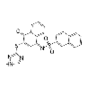 O=C1C(Sc2nc[nH]n2)=C/C(=N/S(=O)(=O)c2ccc3ccccc3c2)c2ccccc21